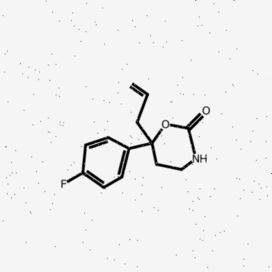 C=CCC1(c2ccc(F)cc2)CCNC(=O)O1